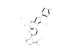 Cc1nc([C@H](C)Nc2nccc(N3C(=O)OCC3[C@@H](C)O)n2)cn1-c1ccc(Cl)cc1